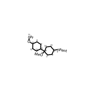 CCCCCC1CCC(OC)(C2CCC(OCCC)CC2)CC1